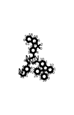 CC1(C)c2cc(-c3nc(-c4ccc5c(c4)C(c4ccccc4)(c4ccccc4)c4ccccc4-5)cn4c(-c5ccc6cccnc6c5)cnc34)ccc2-c2c1ccc1ccccc21